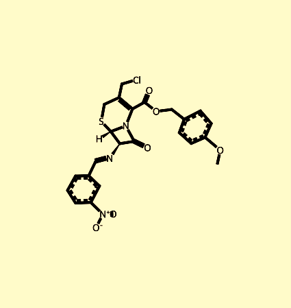 COc1ccc(COC(=O)C2=C(CCl)CS[C@H]3[C@H](N=Cc4cccc([N+](=O)[O-])c4)C(=O)N23)cc1